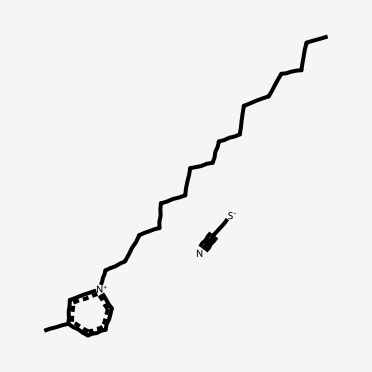 CCCCCCCCCCCCCCCC[n+]1cccc(C)c1.N#C[S-]